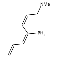 BC(/C=C\CNC)=C/C=C